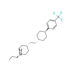 CCC[Si@H]1CC[C@H](CC[C@H]2CC[C@H](c3ccc(C(F)(F)F)cc3)CC2)CC1